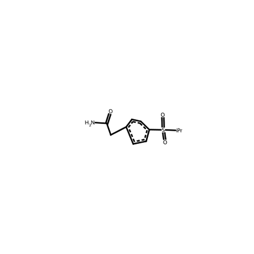 CC(C)S(=O)(=O)c1ccc(CC(N)=O)cc1